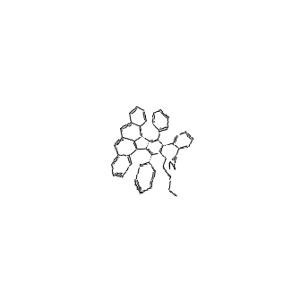 CCCCCc1c(-c2ccccc2)c2c(c(-c3ccccc3)c1-c1ccccc1C#N)-c1c3ccccc3cc3cc4ccccc4c-2c13